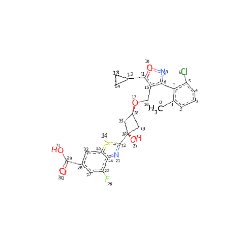 Cc1cccc(Cl)c1-c1noc(C2CC2)c1CO[C@H]1C[C@](O)(c2nc3c(F)cc(C(=O)O)cc3s2)C1